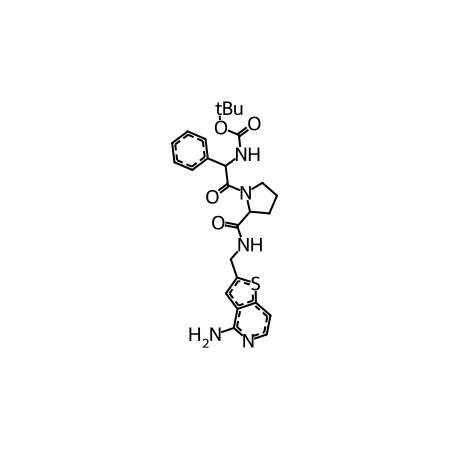 CC(C)(C)OC(=O)NC(C(=O)N1CCCC1C(=O)NCc1cc2c(N)nccc2s1)c1ccccc1